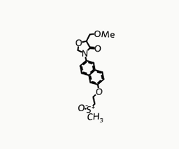 COCC1OCN(c2ccc3cc(OCC[S+](C)[O-])ccc3c2)C1=O